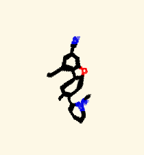 Cc1cc2c(cc1-c1cccc[n+]1C)oc1cc(C#N)cc(C)c12